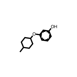 CC1CCC(Oc2cccc(O)c2)CC1